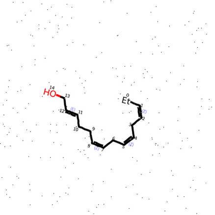 CC/C=C\C/C=C\C/C=C\CC/C=C/CO